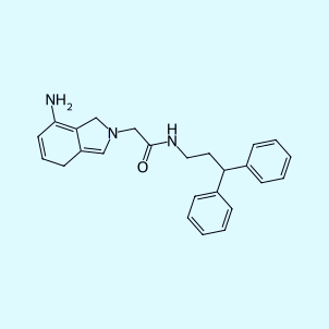 NC1=C2CN(CC(=O)NCCC(c3ccccc3)c3ccccc3)C=C2CC=C1